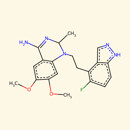 COc1cc2c(cc1OC)N(CCc1c(F)ccc3[nH]ncc13)C(C)N=C2N